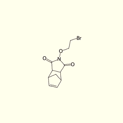 O=C1C2C3C=CC(C3)C2C(=O)N1OCCBr